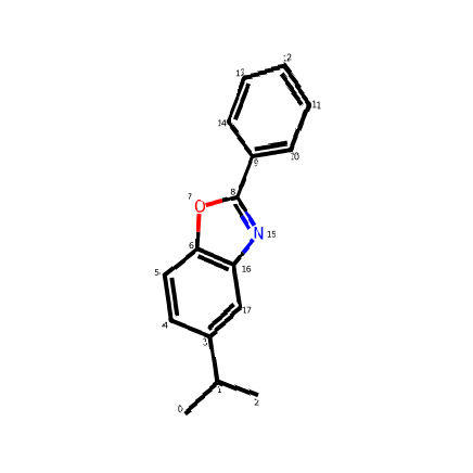 CC(C)c1ccc2oc(-c3ccccc3)nc2c1